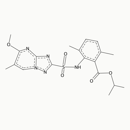 COc1nc2nc(S(=O)(=O)Nc3c(C)ccc(C)c3C(=O)OC(C)C)nn2cc1C